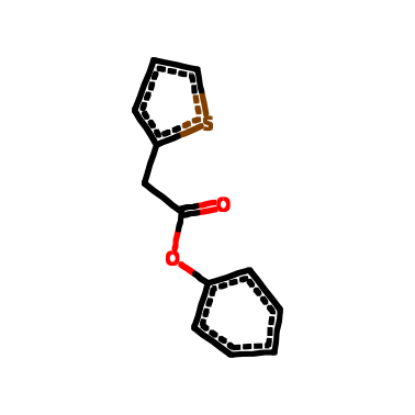 O=C(Cc1cccs1)Oc1ccccc1